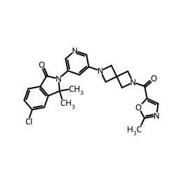 Cc1ncc(C(=O)N2CC3(C2)CN(c2cncc(N4C(=O)c5ccc(Cl)cc5C4(C)C)c2)C3)o1